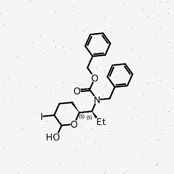 CC[C@@H]([C@@H]1CCC(I)C(O)O1)N(Cc1ccccc1)C(=O)OCc1ccccc1